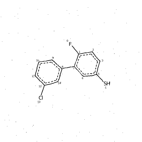 Fc1ccc(S)cc1-c1cccc(Cl)c1